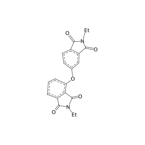 CCN1C(=O)c2ccc(Oc3cccc4c3C(=O)N(CC)C4=O)cc2C1=O